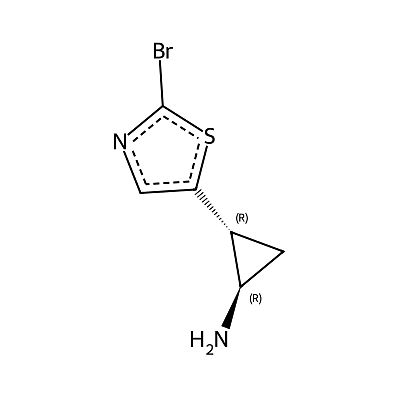 N[C@@H]1C[C@H]1c1cnc(Br)s1